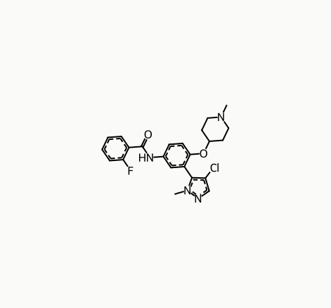 CN1CCC(Oc2ccc(NC(=O)c3ccccc3F)cc2-c2c(Cl)cnn2C)CC1